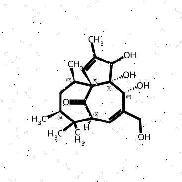 CC1=C[C@]23C(=O)[C@@H](C=C(CO)[C@@H](O)[C@]2(O)C1O)C(C)(C)[C@@H](C)C[C@H]3C